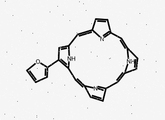 C1=Cc2cc3cc(-c4ccco4)c(cc4nc(cc5ccc(cc1n2)[nH]5)C=C4)[nH]3